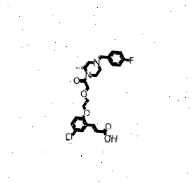 C[C@@H]1CN(Cc2ccc(F)cc2)CCN1C(=O)COCCOc1ccc(Cl)cc1C=CC(=O)O